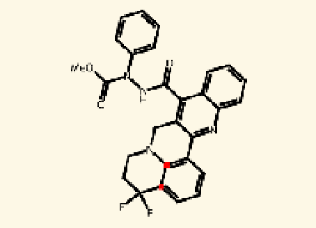 COC(=O)N(NC(=O)c1c(CN2CCC(F)(F)CC2)c(-c2ccccc2)nc2ccccc12)c1ccccc1